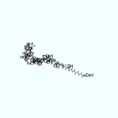 CCCCCCCCCCCCCCCCCCCC(O)CCSCCNC(=O)CCNC(=O)C(O)C(C)(C)COP(=O)(O)OP(=O)(O)OC[C@H]1O[C@H](n2cnc3c(N)ncnc32)[C@H](O)[C@@H]1OP(=O)(O)O